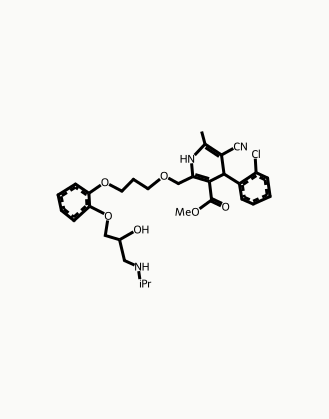 COC(=O)C1=C(COCCCOc2ccccc2OCC(O)CNC(C)C)NC(C)=C(C#N)C1c1ccccc1Cl